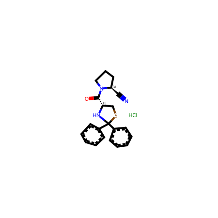 Cl.N#C[C@@H]1CCCN1C(=O)[C@@H]1CSC(c2ccccc2)(c2ccccc2)N1